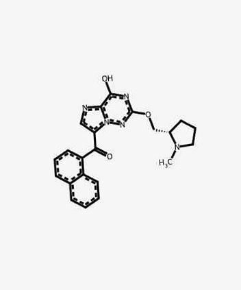 CN1CCC[C@H]1COc1nc(O)c2ncc(C(=O)c3cccc4ccccc34)n2n1